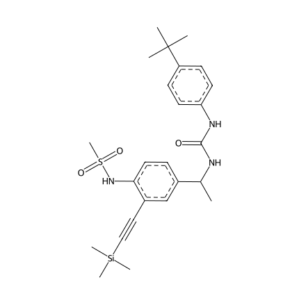 CC(NC(=O)Nc1ccc(C(C)(C)C)cc1)c1ccc(NS(C)(=O)=O)c(C#C[Si](C)(C)C)c1